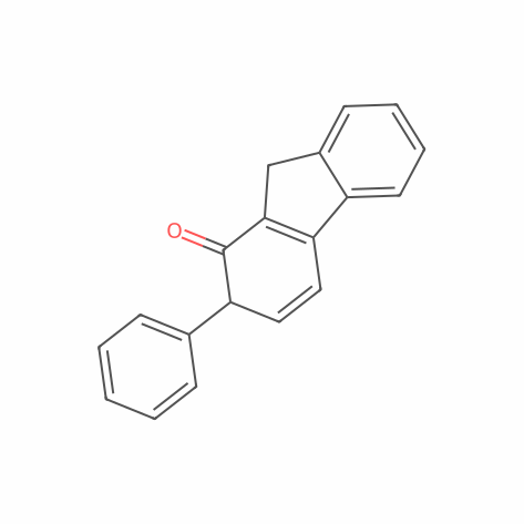 O=C1C2=C(C=CC1c1ccccc1)c1ccccc1C2